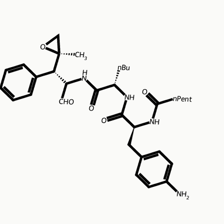 CCCCCC(=O)N[C@@H](Cc1ccc(N)cc1)C(=O)N[C@@H](CCCC)C(=O)NC(C=O)[C@H](c1ccccc1)[C@]1(C)CO1